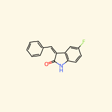 O=C1Nc2ccc(F)cc2C1=Cc1ccccc1